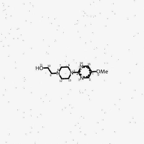 COc1cnc(N2CCN(CCO)CC2)nc1